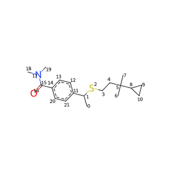 CC(SCCC(C)(C)C1CC1)c1ccc(C(=O)N(C)C)cc1